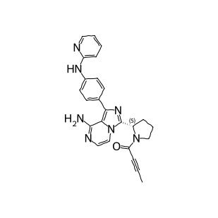 CC#CC(=O)N1CCC[C@H]1c1nc(-c2ccc(Nc3ccccn3)cc2)c2c(N)nccn12